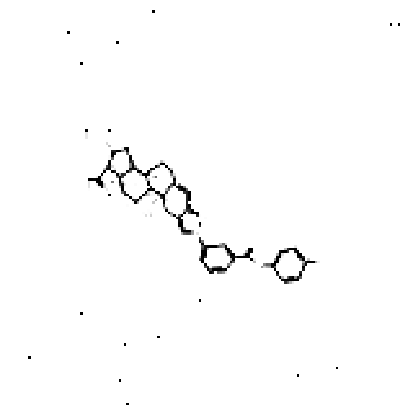 CCC(=O)[C@@]1(C)[C@@H](C)C[C@H]2[C@@H]3CCC4=Cc5nn(-c6cccc(C(=O)Nc7ccc(C)cc7)c6)cc5C[C@]4(C)[C@@]3(Cl)[C@@H](O)C[C@@]21C